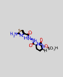 Nc1nc(C(=O)NNC(=O)[C@@H]2CC[C@@H]3CN2C(=O)N3OS(=O)(=O)O)cs1